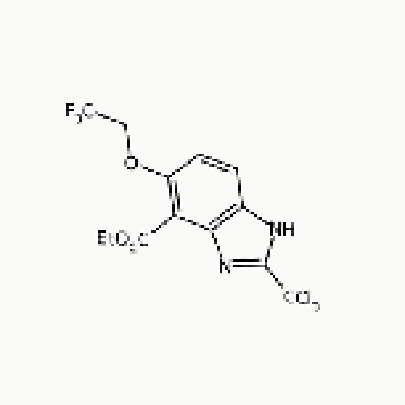 CCOC(=O)c1c(OCC(F)(F)F)ccc2[nH]c(C(Cl)(Cl)Cl)nc12